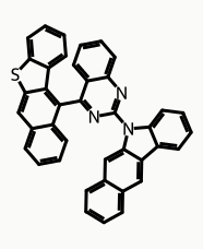 c1ccc2cc3c(cc2c1)c1ccccc1n3-c1nc(-c2c3ccccc3cc3sc4ccccc4c23)c2ccccc2n1